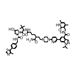 Cc1cc(C)c(CNC(=O)c2cc(-c3ccc(N4CCN(CCC(CCCC(=O)N[C@H](C(=O)N5C[C@H](O)C[C@H]5C(=O)NCc5ccc(-c6scnc6C)cc5)C(C)(C)C)C(N)=O)CC4)nc3)cc3c2cnn3C(C)C)c(=O)[nH]1